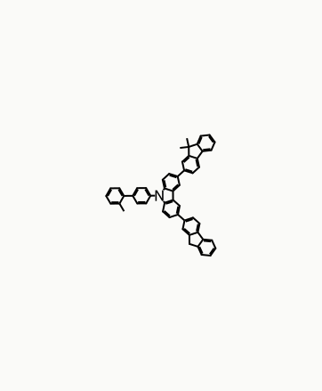 Cc1ccccc1-c1ccc(-n2c3ccc(-c4ccc5c(c4)Cc4ccccc4-5)cc3c3cc(-c4ccc5c(c4)C(C)(C)c4ccccc4-5)ccc32)cc1